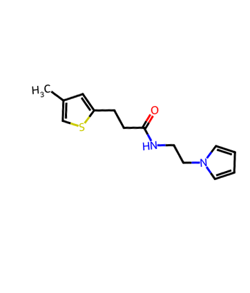 Cc1csc(CCC(=O)NCCn2cccc2)c1